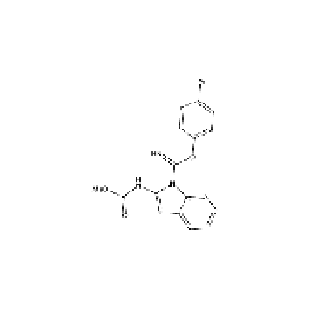 COC(=O)Nc1nc2ccccc2n1C(=N)Oc1ccc(C(C)=O)cc1